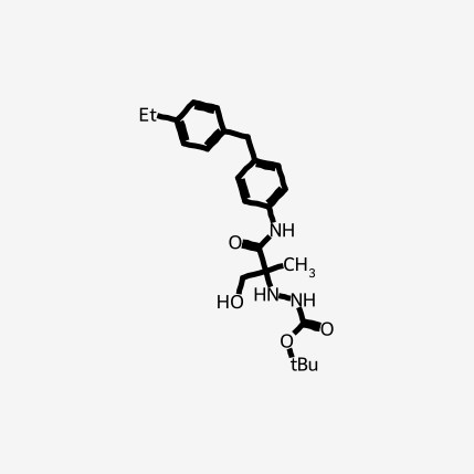 CCc1ccc(Cc2ccc(NC(=O)C(C)(CO)NNC(=O)OC(C)(C)C)cc2)cc1